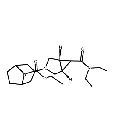 CCOC(=O)N1C2CCC1CC(N1C[C@@H]3C(C(=O)N(CC)CC)[C@@H]3C1)C2